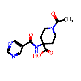 CC(=O)N1CCC(NC(=O)c2cncnc2)(C(=O)O)CC1